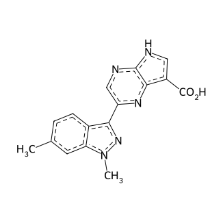 Cc1ccc2c(-c3cnc4[nH]cc(C(=O)O)c4n3)nn(C)c2c1